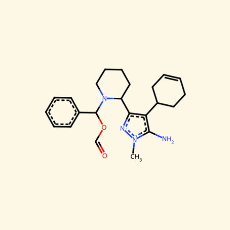 Cn1nc(C2CCCCN2C(OC=O)c2ccccc2)c(C2CC=CCC2)c1N